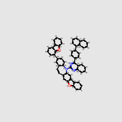 C1=Cc2cc3oc4ccccc4c3cc2N(c2nc(-c3ccc(-c4cccc5ccccc45)cc3)c3ccccc3n2)c2ccc(-c3cccc4c3oc3ccccc34)cc21